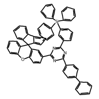 c1ccc(-c2ccc(-c3nc(-c4cccc([Si](c5ccccc5)(c5ccccc5)c5ccccc5)c4)nc(-c4ccc5c(c4)C4(c6ccccc6O5)c5ccccc5-c5ccccc54)n3)cc2)cc1